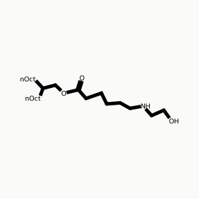 CCCCCCCCC(CCCCCCCC)COC(=O)CCCCCNCCO